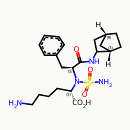 NCCCC[C@@H](C(=O)O)N([C@@H](Cc1ccccc1)C(=O)NC1C[C@@H]2CC[C@H]1C2)S(N)(=O)=O